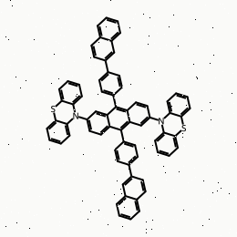 c1ccc2c(c1)Sc1ccccc1N2c1ccc2c(-c3ccc(-c4ccc5ccccc5c4)cc3)c3cc(N4c5ccccc5Sc5ccccc54)ccc3c(-c3ccc(-c4ccc5ccccc5c4)cc3)c2c1